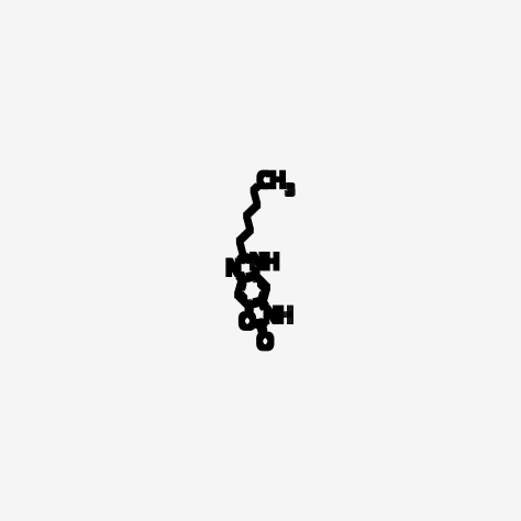 CCCCCCc1nc2cc3oc(=O)[nH]c3cc2[nH]1